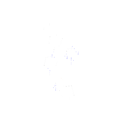 CCc1ccc(-c2nn[nH]n2)c(N2CCN(Cc3nc4ccccc4s3)CC2)c1